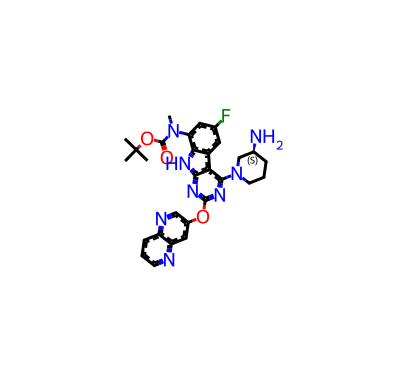 CN(C(=O)OC(C)(C)C)c1cc(F)cc2c1[nH]c1nc(Oc3cnc4cccnc4c3)nc(N3CCC[C@H](N)C3)c12